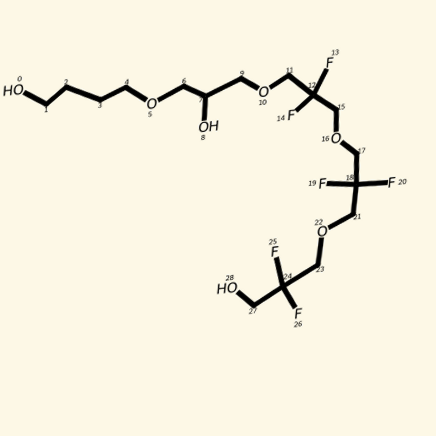 OCCCCOCC(O)COCC(F)(F)COCC(F)(F)COCC(F)(F)CO